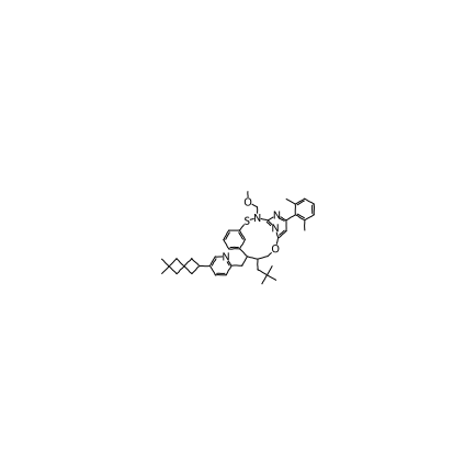 COCN1Sc2cccc(c2)C(Cc2ccc(C3CC4(C3)CC(C)(C)C4)cn2)C(CC(C)(C)C)COc2cc(-c3c(C)cccc3C)nc1n2